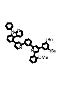 COc1ccccc1-c1cc(-c2cc(C(C)(C)C)cc(C(C)(C)C)c2)cc(-c2cccc(-c3cc(-c4cccc5c4c4cccnc4n5-c4ccccc4)ccn3)c2)n1